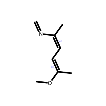 C=N/C(C)=C\C=C(/C)OC